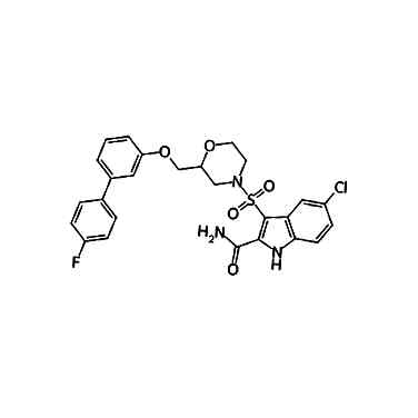 NC(=O)c1[nH]c2ccc(Cl)cc2c1S(=O)(=O)N1CCOC(COc2cccc(-c3ccc(F)cc3)c2)C1